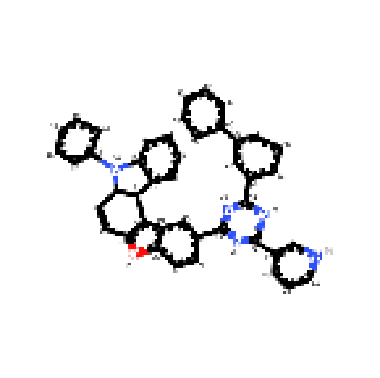 C1=CC2C(c3ccccc3N2c2ccccc2)c2c1oc1ccc(-c3nc(-c4cccnc4)nc(-c4cccc(-c5ccccc5)c4)n3)cc21